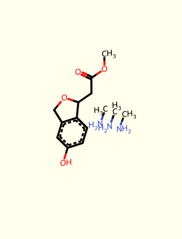 CN.CN.CN.COC(=O)CC1OCc2cc(O)ccc21